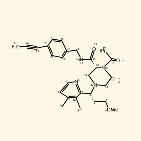 COCC[C@H](c1nccc(C)c1F)N1C[C@@H](C)N(C(=O)C(C)C)[C@@H](C(=O)NCc2ccc(C#CC(F)(F)F)cc2)C1